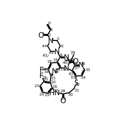 C=CC(=O)N1CCN(c2nc(=O)n3c4nc(c(F)cc24)-c2c(F)cccc2NC(=O)CCSc2ccnc(C(C)C)c2-3)[C@H](C)C1